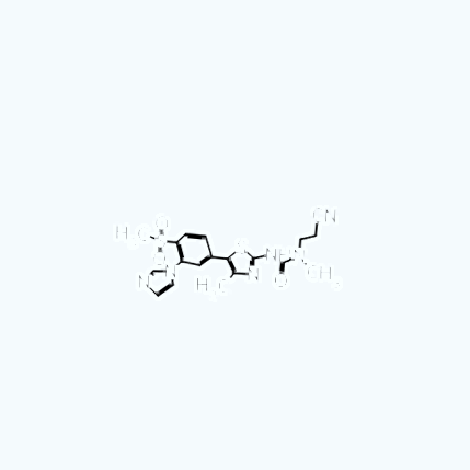 Cc1nc(NC(=O)N(C)CCC#N)sc1-c1ccc(S(C)(=O)=O)c(-n2ccnc2)c1